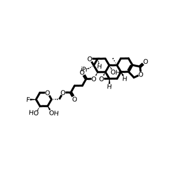 CC(C)[C@]12O[C@H]1C[C@]1(O)[C@]3(O[C@H]3C[C@H]3C4=C(CC[C@@]31C)C(=O)OC4)[C@@H]2OC(=O)CCC(=O)OC[C@H]1OC[C@H](F)[C@@H](O)[C@@H]1O